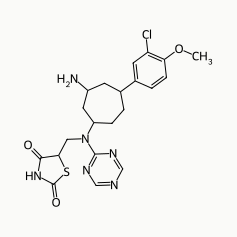 COc1ccc(C2CCC(N(CC3SC(=O)NC3=O)c3ncncn3)CC(N)C2)cc1Cl